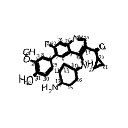 COc1cc(-c2cc3c(NC4CCC(N)CC4)c(C(=O)C4CC4)cnc3cc2F)ccc1O